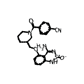 N#Cc1ccc(C(=O)N2CCCC(COc3cccc4c3C(N)=N[S+]([O-])N4)C2)cc1